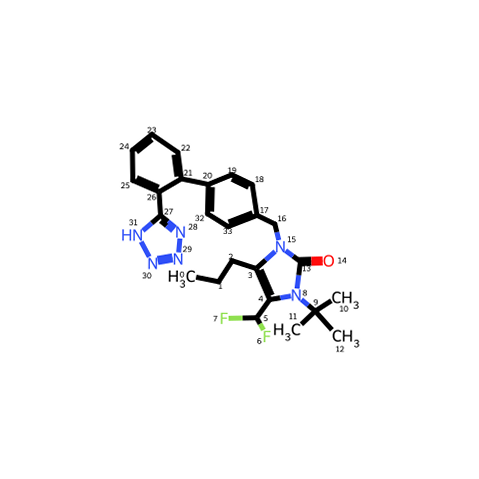 CCCc1c(C(F)F)n(C(C)(C)C)c(=O)n1Cc1ccc(-c2ccccc2-c2nnn[nH]2)cc1